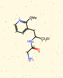 CCOC(=O)C(Cc1cccnc1OC)NC(=O)CN